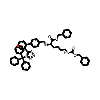 O=C(NCCCCC(NCc1ccc(-c2ccccc2-c2nnnn2C(c2ccccc2)(c2ccccc2)c2ccccc2)cc1)C(=O)OCc1ccccc1)OCc1ccccc1